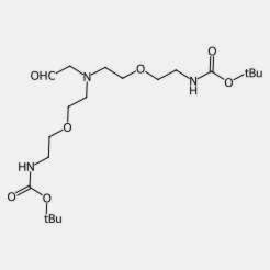 CC(C)(C)OC(=O)NCCOCCN(CC=O)CCOCCNC(=O)OC(C)(C)C